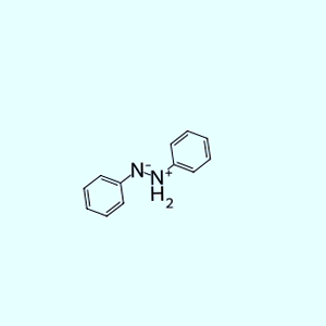 c1ccc([N-][NH2+]c2ccccc2)cc1